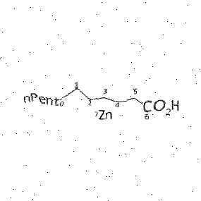 CCCCCCCCCCC(=O)O.[Zn]